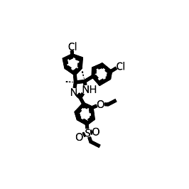 CCOc1cc(S(=O)(=O)CC)ccc1C1=N[C@@](C)(c2ccc(Cl)cc2)[C@@](C)(c2ccc(Cl)cc2)N1